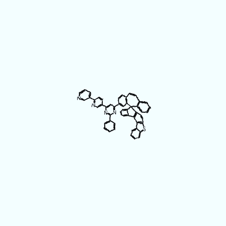 C1=Cc2ccc(-c3cc(-c4ccc(-c5cccnc5)nc4)nc(-c4ccccc4)n3)cc2C2(c3ccccc31)c1ccccc1-c1c2ccc2sc3ccccc3c12